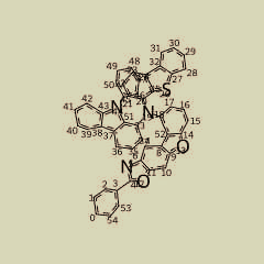 c1ccc(-c2nc3cc4c(cc3o2)oc2cccc(N(c3cccc5c3sc3ccccc35)c3cccc5c6ccccc6n(-c6ccccc6)c35)c24)cc1